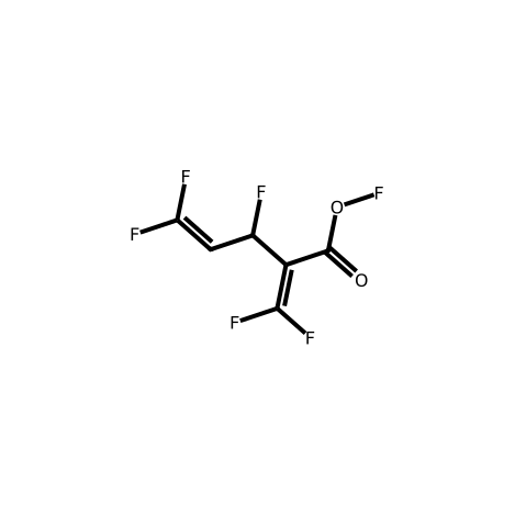 O=C(OF)C(=C(F)F)C(F)C=C(F)F